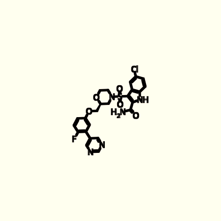 NC(=O)c1[nH]c2ccc(Cl)cc2c1S(=O)(=O)N1CCO[C@H](COc2ccc(F)c(-c3cncnc3)c2)C1